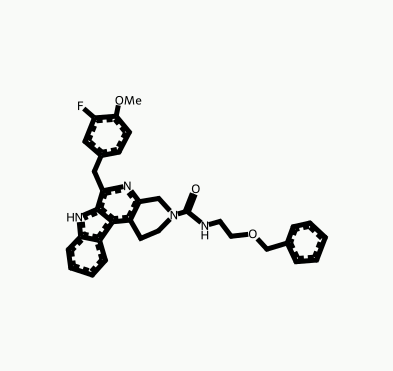 COc1ccc(Cc2nc3c(c4c2[nH]c2ccccc24)CCN(C(=O)NCCOCc2ccccc2)C3)cc1F